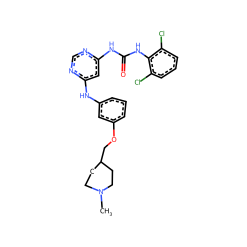 CN1CCC(COc2cccc(Nc3cc(NC(=O)Nc4c(Cl)cccc4Cl)ncn3)c2)CC1